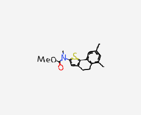 COC(=O)N(C)c1cc2c(s1)-c1cc(C)cc(C)c1CC2